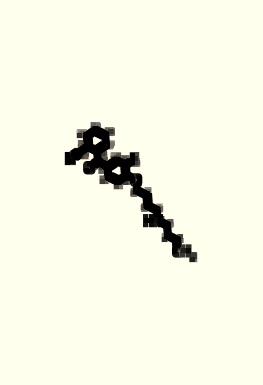 C=CCCNCC=CCOc1ccc(C(=O)c2ccccc2C#N)cc1F